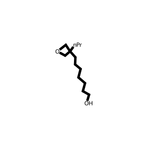 CCCC1(CCCCCCCO)COC1